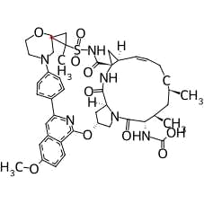 COc1ccc2c(O[C@@H]3C[C@H]4C(=O)N[C@]5(C(=O)NS(=O)(=O)C6(C)CC6)C[C@H]5/C=C\CC[C@@H](C)C[C@@H](C)[C@H](NC(=O)O)C(=O)N4C3)nc(-c3ccc(N4CCOCC4)cc3)cc2c1